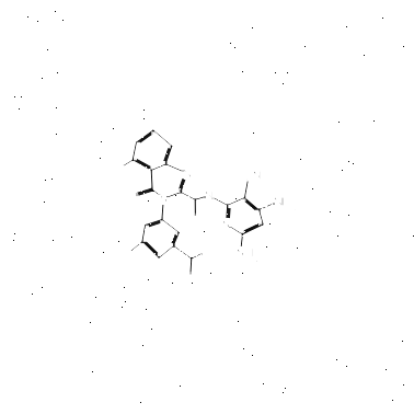 CCC(Nc1nc(N)cc(N)c1C#N)c1nc2cccc(F)c2c(=O)n1-c1cc(F)cc(C(F)F)c1